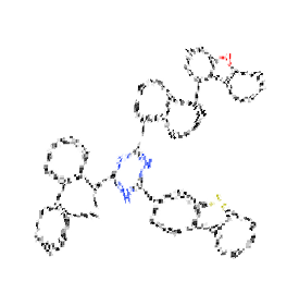 c1ccc2c(c1)CC(c1nc(-c3ccc4c(c3)sc3ccccc34)nc(-c3cccc4c(-c5cccc6oc7ccccc7c56)cccc34)n1)c1ccccc1-2